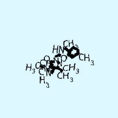 Cc1ccc([C@H](C)NC(=O)Cn2nc(C(C)C)c3cnn(C(C)(C)C)c3c2=O)cc1